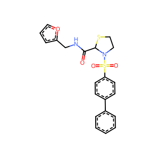 O=C(NCc1ccco1)C1SCCN1S(=O)(=O)c1ccc(-c2ccccc2)cc1